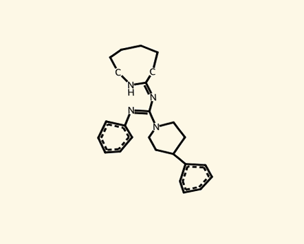 c1ccc(N=C(N=C2CCCCCCN2)N2CCC(c3ccccc3)CC2)cc1